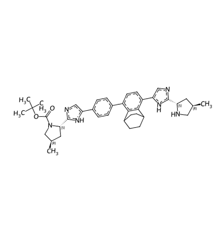 C[C@@H]1C[C@@H](c2ncc(-c3ccc(-c4ccc(-c5cnc([C@@H]6C[C@@H](C)CN6)[nH]5)c5c4C4CCC5CC4)cc3)[nH]2)N(C(=O)OC(C)(C)C)C1